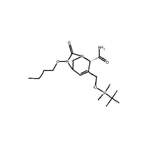 CCCCON1C(=O)N2CC1C=C(CO[Si](C)(C)C(C)(C)C)[C@H]2C(N)=O